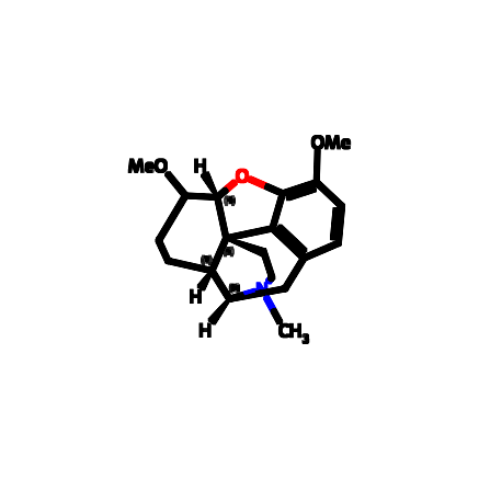 COc1ccc2c3c1O[C@H]1C(OC)CC[C@H]4[C@@H](C2)N(C)CC[C@]314